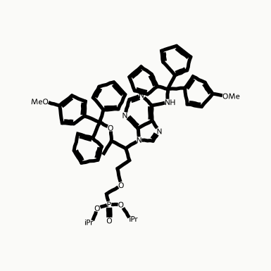 COc1ccc(C(Nc2ncnc3c2ncn3C(CCOCP(=O)(OC(C)C)OC(C)C)C(C)OC(c2ccccc2)(c2ccccc2)c2ccc(OC)cc2)(c2ccccc2)c2ccccc2)cc1